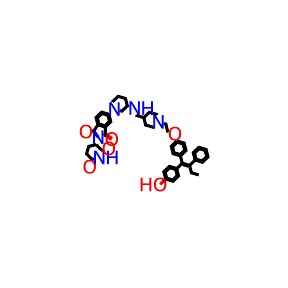 CCC(=C(c1ccc(O)cc1)c1ccc(OCCN2CCC(CN[C@H]3CCCN(c4ccc5c(c4)C(=O)N(C4CCC(=O)NC4=O)C5=O)C3)CC2)cc1)c1ccccc1